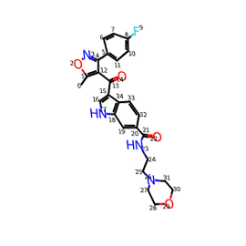 Cc1onc(-c2ccc(F)cc2)c1C(=O)c1c[nH]c2cc(C(=O)NCCN3CCOCC3)ccc12